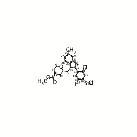 COC(=O)N1CCOC(Cc2c(-c3cc(F)c(SCl)cc3Cl)nc3cc(C)ccn23)C1